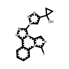 OC1(c2cn(-c3nnc4c5ccccc5n5c(F)ncc5n34)nn2)CC1